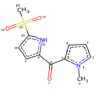 Cn1cccc1C(=O)c1ccc(S(C)(=O)=O)[nH]1